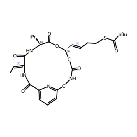 C/C=C1\NC(=O)c2cccc(n2)CNC(=O)C[C@@H](/C=C/CCSC(=O)CCCC)OC(=O)[C@H](C(C)C)NC1=O